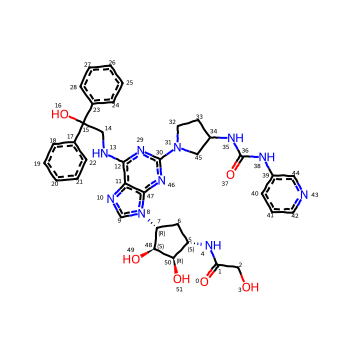 O=C(CO)N[C@H]1C[C@@H](n2cnc3c(NCC(O)(c4ccccc4)c4ccccc4)nc(N4CCC(NC(=O)Nc5cccnc5)C4)nc32)[C@H](O)[C@@H]1O